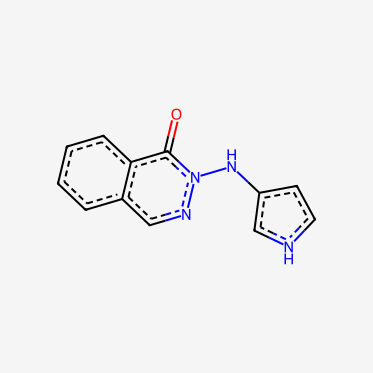 O=c1c2ccccc2cnn1Nc1cc[nH]c1